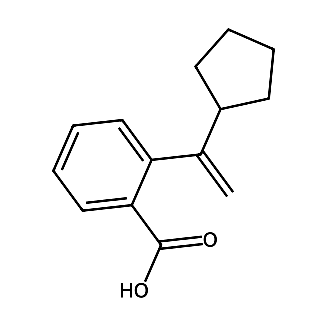 C=C(c1ccccc1C(=O)O)C1CCCC1